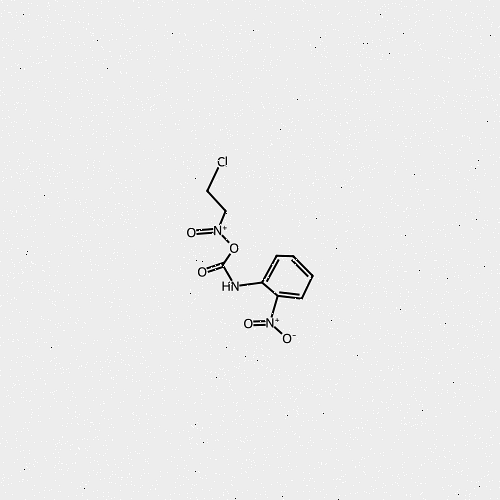 O=C(Nc1ccccc1[N+](=O)[O-])O[N+](=O)CCCl